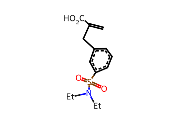 C=C(Cc1cccc(S(=O)(=O)N(CC)CC)c1)C(=O)O